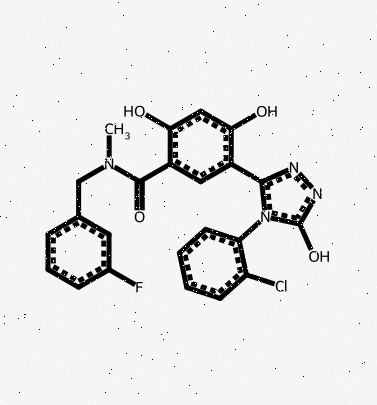 CN(Cc1cccc(F)c1)C(=O)c1cc(-c2nnc(O)n2-c2ccccc2Cl)c(O)cc1O